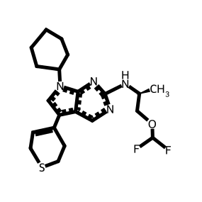 C[C@@H](COC(F)F)Nc1ncc2c(C3=CCSCC3)cn(C3CCCCC3)c2n1